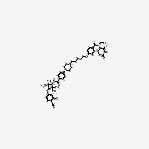 CCN(C(=O)c1ccc(OCCCCCN2CCN(c3ccc(C(=O)NC4C(C)(C)C(Oc5ccc(C#N)c(Cl)c5)C4(C)C)cn3)CC2)cc1)[C@@H]1CCC(=O)NC1=O